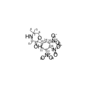 CC1NC(C)(C)COC1(O)c1cc([N+](=O)[O-])c([N+](=O)[O-])c([N+](=O)[O-])c1